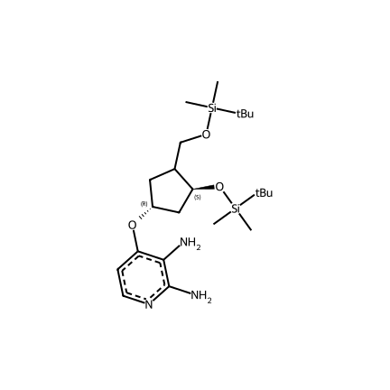 CC(C)(C)[Si](C)(C)OCC1C[C@@H](Oc2ccnc(N)c2N)C[C@@H]1O[Si](C)(C)C(C)(C)C